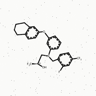 O[C@H](CN(Cc1ccc(C(F)(F)F)cc1F)c1cccc(Oc2ccc3c(c2)CCCC3)c1)C(F)(F)F